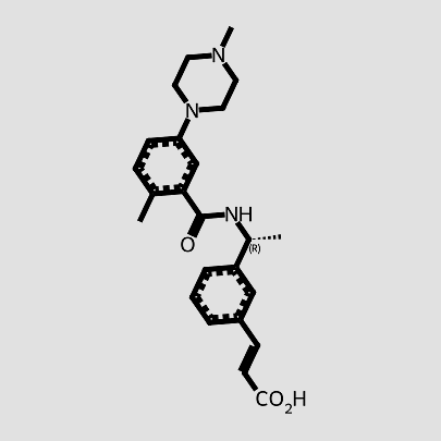 Cc1ccc(N2CCN(C)CC2)cc1C(=O)N[C@H](C)c1cccc(C=CC(=O)O)c1